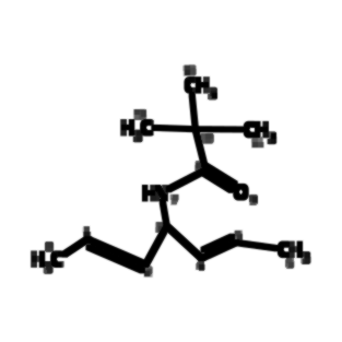 CC=CC(C=CC)NC(=O)C(C)(C)C